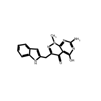 Cn1nc(Cc2cc3ccccc3[nH]2)c(=O)c2c(O)nc(N)nc21